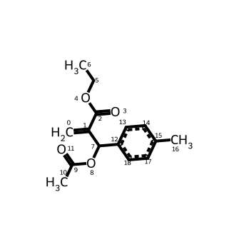 C=C(C(=O)OCC)C(OC(C)=O)c1ccc(C)cc1